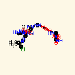 Cn1c(=O)c2nc3[nH]ccc3cc2n1-c1cc(N2CCN(CC3=C(c4ccc(Cl)cc4)CC(C)(C)CC3)CC2)ccc1C(=O)NS(=O)(=O)c1ccc(NCCN2CCN(CCOCCOCCOCCNc3cccc4c3C(=O)N(C3CCC(=O)NC3=O)C4=O)CC2)c([N+](=O)[O-])c1